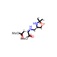 COC(=O)C[C@H](NC[C@@H]1COC(C)(C)N1)C(=O)OC